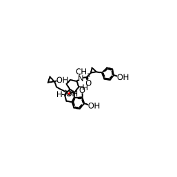 CN(C(=O)C1CC1c1ccc(O)cc1)C1CC[C@@]2(O)[C@H]3Cc4ccc(O)c5c4[C@@]2(CCN3CC2(O)CC2)[C@H]1O5